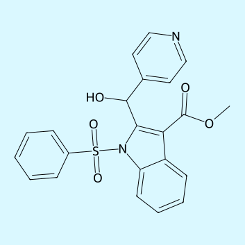 COC(=O)c1c(C(O)c2ccncc2)n(S(=O)(=O)c2ccccc2)c2ccccc12